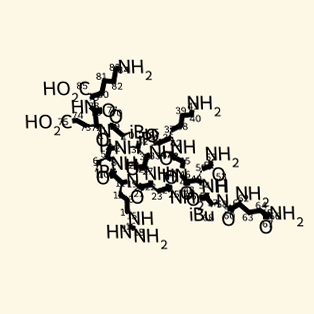 CC[C@H](C)[C@H](NC(=O)[C@H](CC(C)C)NC(=O)[C@H](CCCNC(=N)N)NC(=O)[C@H](CC(N)=O)NC(=O)[C@H](CC(C)C)NC(=O)[C@H](CCCCN)NC(=O)CNC(=O)[C@H](CC(N)=O)NC(=O)[C@@H](NC(=O)[C@@H](N)CCC(N)=O)[C@@H](C)CC)C(=O)N[C@@H](CCC(=O)O)C(=O)N[C@@H](CCCCN)C(=O)O